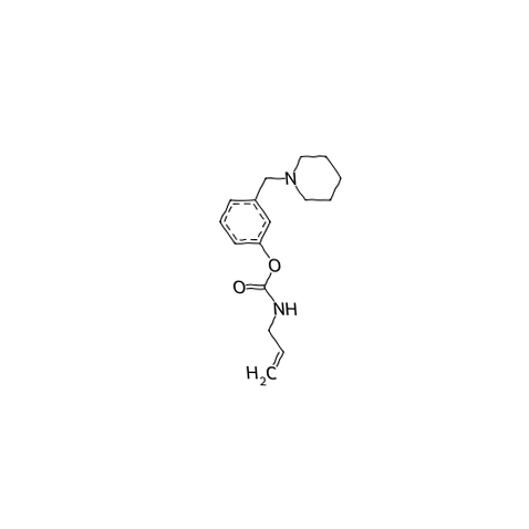 C=CCNC(=O)Oc1cccc(CN2CCCCC2)c1